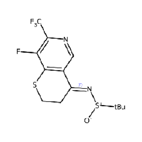 CC(C)(C)[S+]([O-])/N=C1\CCSc2c1cnc(C(F)(F)F)c2F